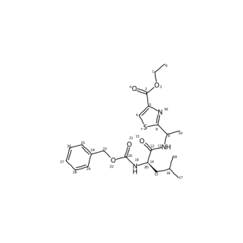 CCOC(=O)c1csc(C(C)NC(=O)[C@@H](CC(C)C)NC(=O)OCc2ccccc2)n1